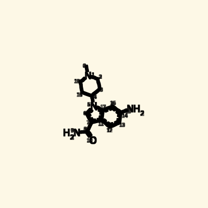 CN1CCC(n2cc(C(N)=O)c3ccc(N)cc32)CC1